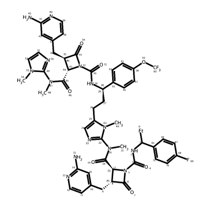 CCC(NC(=O)N1C(=O)[C@H](Cc2ccnc(N)c2)[C@H]1C(=O)N(C)c1ncc(CC[C@@H](NC(=O)N2C(=O)[C@H](Cc3ccnc(N)c3)[C@H]2C(=O)N(C)c2nccn2C)c2ccc(OC(F)(F)F)cc2)n1C)c1ccc(F)cc1